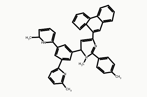 Cc1ccc(C2=NC(c3cc4ccccc4c4ccccc34)=CC(c3cc(C4=CC=CC(C)N4)cc(-c4cccc(C)n4)c3)N2C)cc1